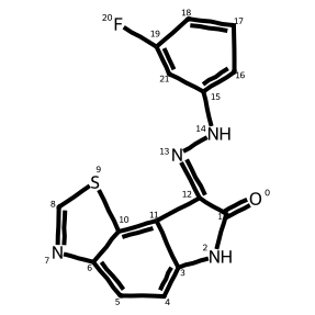 O=C1Nc2ccc3ncsc3c2/C1=N/Nc1cccc(F)c1